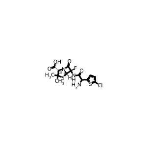 CC1(C)S[C@H]2N(C(=O)[C@]2(F)NC(=O)C(N)c2ccc(Cl)s2)[C@H]1C(=O)O